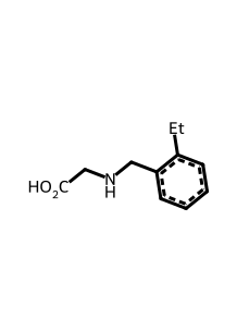 CCc1ccccc1CNCC(=O)O